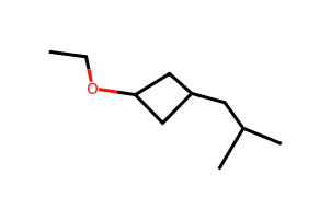 CCOC1CC(CC(C)C)C1